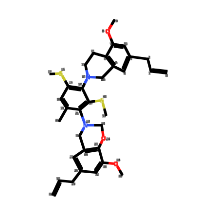 C=CCc1cc2c(c(OC)c1)CCN(c1c(SC)cc(C)c(N3COc4c(cc(CC=C)cc4OC)C3)c1SC)C2